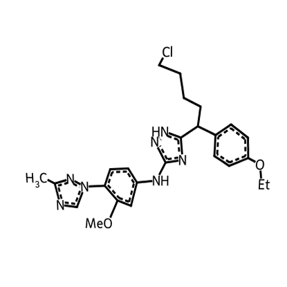 CCOc1ccc(C(CCCCCl)c2nc(Nc3ccc(-n4cnc(C)n4)c(OC)c3)n[nH]2)cc1